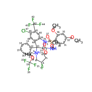 CNC(=O)[C@@H]1C[C@@H](F)C[N+]1(C)C1(c2ccccc2OC(F)(F)F)C(=O)N(S(=O)(=O)c2ccc(OC)cc2OC)c2cc(C(F)(F)F)c(Cl)cc21